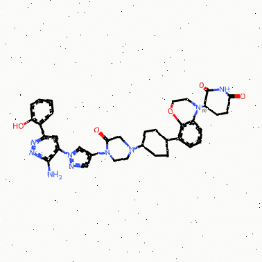 Nc1nnc(-c2ccccc2O)cc1-n1cc(N2CCN(C3CCC(c4cccc5c4OCCN5[C@H]4CCC(=O)NC4=O)CC3)CC2=O)cn1